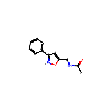 CC(=O)NCc1cc(-c2ccccc2)no1